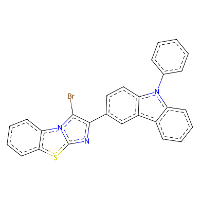 Brc1c(-c2ccc3c(c2)c2ccccc2n3-c2ccccc2)nc2sc3ccccc3n12